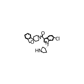 O=C(c1cn(C[C@@H]2CCNC2)c2cc(Cl)ccc12)N1CCC2(CC1)OCc1ccccc12